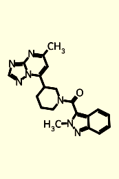 Cc1cc(C2CCCN(C(=O)c3c4ccccc4nn3C)C2)n2ncnc2n1